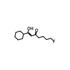 O=C(/C=C(\O)C1CCCCC1)CCCCF